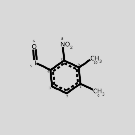 Cc1ccc(I=O)c([N+](=O)[O-])c1C